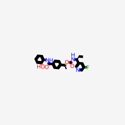 CC[C@H](NC(=O)O[C@@H](C)c1ccc(C(=O)Nc2ccccc2O)cc1)c1cncc(F)c1